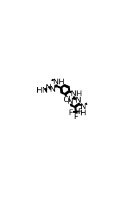 CN/C(=N\N=N)c1ccc(Nc2ncc(C(F)(F)F)c(NC)n2)c(Cl)c1